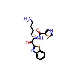 NCCCC[C@H](NC(=O)c1cncs1)C(=O)c1nc2ccccc2s1